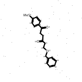 CSc1ccc(C(=O)CCC(=O)CCOCc2ccccc2)cc1